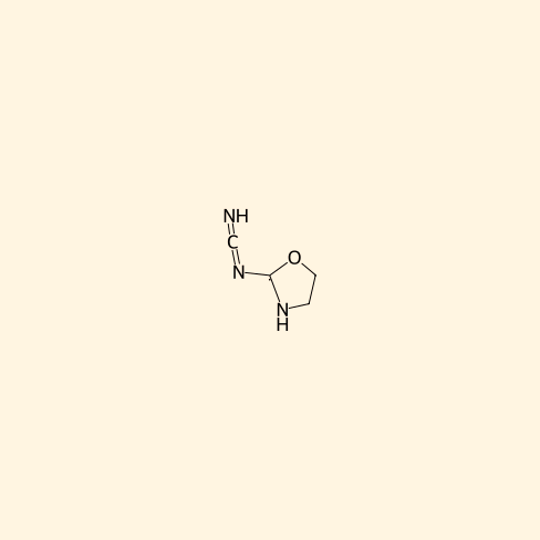 N=C=N[C]1NCCO1